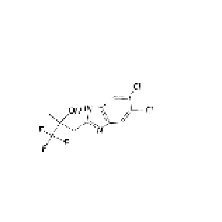 CC(O)(Cc1nc2cc(Cl)c(Cl)cc2[nH]1)C(F)(F)F